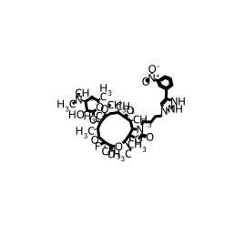 CC[C@H]1OC(=O)[C@@](C)(F)C(=O)[C@H](C)[C@@H](OC2O[C@H](C)C[C@H](N(C)C)[C@H]2O)[C@@](C)(OC)C[C@@H](C)C(=O)[C@H](C)C2N(CCCCN3C=C(c4cccc([N+](=O)[O-])c4)NN3)C(=O)O[C@@]21C